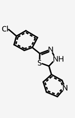 Clc1ccc(C2=NNC(c3cccnc3)S2)cc1